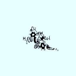 COc1cc(OC)c(/C=C/S(=O)(=O)Nc2ccc(OC)c(OC(=O)C(C)O)c2)c(OC)c1